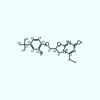 CCc1cc(=O)nc2n1CC(COc1ccc(C(C)(C)C)cc1F)O2